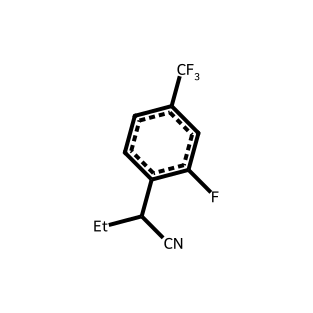 CCC(C#N)c1ccc(C(F)(F)F)cc1F